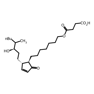 CCCCC(C)[C@H](O)CC[C@H]1C=CC(=O)[C@@H]1CCCCCCCOC(=O)CCC(=O)O